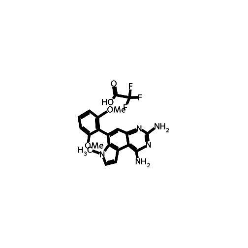 COc1cccc(OC)c1-c1cc2nc(N)nc(N)c2c2ccn(C)c12.O=C(O)C(F)(F)F